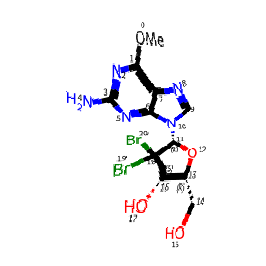 COc1nc(N)nc2c1ncn2[C@@H]1O[C@H](CO)[C@H](O)C1(Br)Br